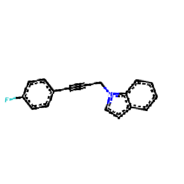 Fc1ccc(C#CCn2ccc3ccccc32)cc1